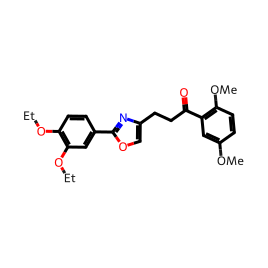 CCOc1ccc(-c2nc(CCC(=O)c3cc(OC)ccc3OC)co2)cc1OCC